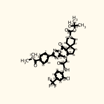 CN(C)C(=O)c1ccc(-c2nc3n(CC(=O)Nc4ccc(C(F)(F)F)cc4Cl)c4c(c(=O)n3n2)C2(CC4)CCN(C(=O)OC(C)(C)C)CC2)cc1